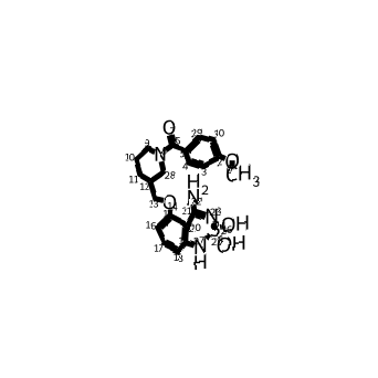 COc1ccc(C(=O)N2CCCC(COc3cccc4c3C(N)=NS(O)(O)N4)C2)cc1